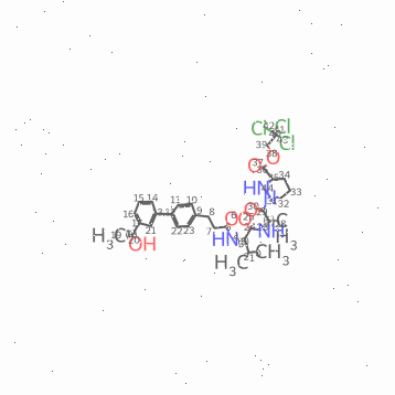 CC(C)[C@H](NC(=O)CCc1ccc(-c2cccc([C@@H](C)O)c2)cc1)C(=O)N[C@@H](C)C(=O)N1CCCC(C(=O)OCC(Cl)(Cl)Cl)N1